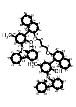 Cc1cc(-c2c(OCCCOc3ccc4ccccc4c3-c3cc(C)cc(-n4c5ccccc5c5ccccc54)c3O)ccc3ccccc23)c(O)c(-n2c3ccccc3c3ccccc32)c1